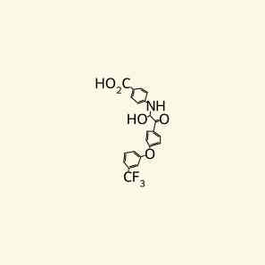 O=C(O)c1ccc(NC(O)C(=O)c2ccc(Oc3cccc(C(F)(F)F)c3)cc2)cc1